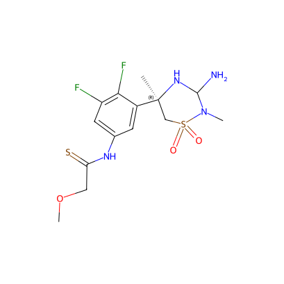 COCC(=S)Nc1cc(F)c(F)c([C@]2(C)CS(=O)(=O)N(C)C(N)N2)c1